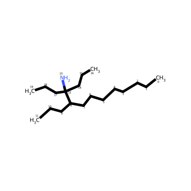 CCCCCCCCC(CCC)C(N)(CCC)CCC